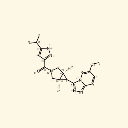 COc1ccc2nnc(C3[C@H]4CN(C(=O)c5cc(C(C)C)[nH]n5)C[C@@H]34)n2c1